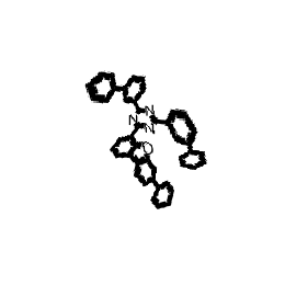 c1ccc(-c2cccc(-c3nc(-c4cccc(-c5ccccc5)c4)nc(-c4cccc5c4oc4cc(-c6ccccc6)ccc45)n3)c2)cc1